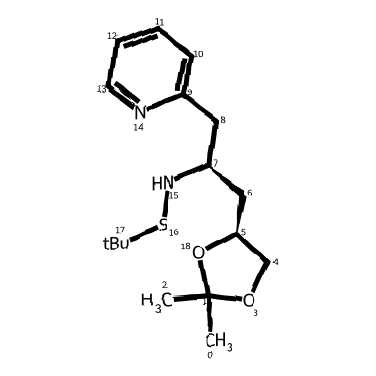 CC1(C)OC[C@H](C[C@H](Cc2ccccn2)NSC(C)(C)C)O1